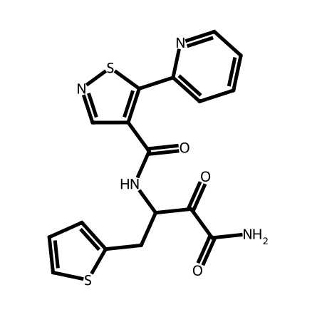 NC(=O)C(=O)C(Cc1cccs1)NC(=O)c1cnsc1-c1ccccn1